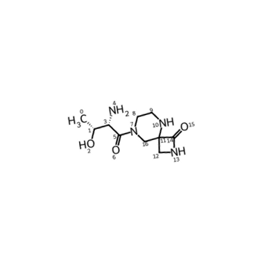 C[C@@H](O)[C@H](N)C(=O)N1CCNC2(CNC2=O)C1